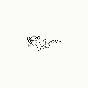 COCC1=C(C)CC([C@@H](C)C2CCC3C4C[C@H]5O[C@]56C(=O)C=CC(=O)[C@]6(C)C4CC[C@@]32C)OC1=O